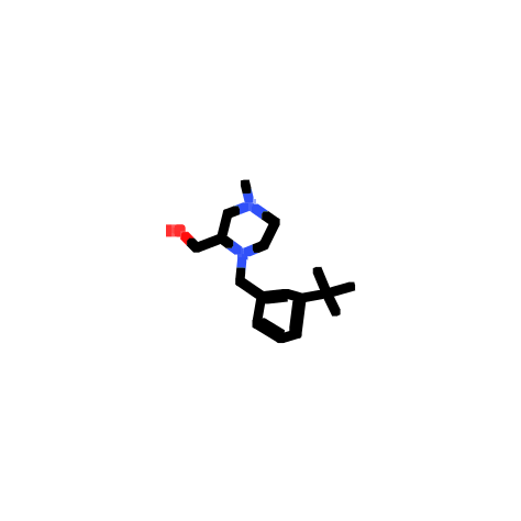 CN1CCN(Cc2cccc(C(C)(C)C)c2)C(CO)C1